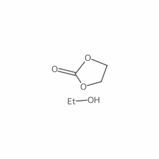 CCO.O=C1OCCO1